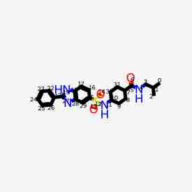 CC(C)CNC(=O)C1CCC(NS(=O)(=O)c2ccc3[nH]c(-c4ccccc4)nc3c2)CC1